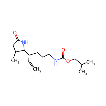 C=CC(CCCNC(=O)OCC(C)C)C1NC(=O)CC1C